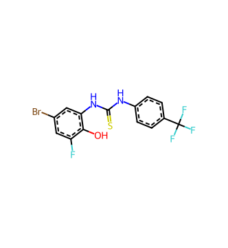 Oc1c(F)cc(Br)cc1NC(=S)Nc1ccc(C(F)(F)F)cc1